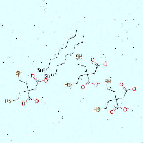 CCCCCCC[CH2][Sn+3].CCCCCCC[CH2][Sn+3].O=C([O-])CC(CCS)(CCS)C(=O)[O-].O=C([O-])CC(CCS)(CCS)C(=O)[O-].O=C([O-])CC(CCS)(CCS)C(=O)[O-]